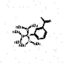 C=C(C)c1cccc([Si](N(CCCC)CCCC)(N(CCCC)CCCC)N(CCCC)CCCC)c1